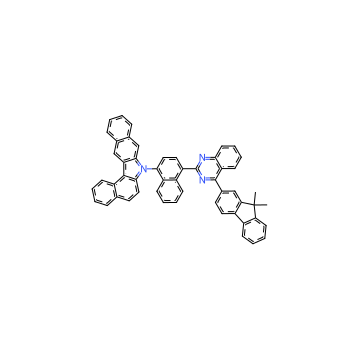 CC1(C)c2ccccc2-c2ccc(-c3nc(-c4ccc(-n5c6cc7ccccc7cc6c6c7ccccc7ccc65)c5ccccc45)nc4ccccc34)cc21